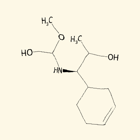 COC(O)N[C@@H](C(C)O)C1CC=CCC1